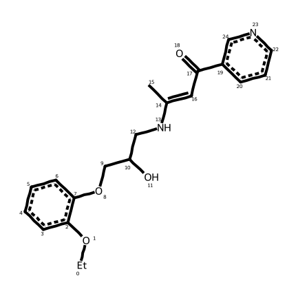 CCOc1ccccc1OCC(O)CN/C(C)=C/C(=O)c1cccnc1